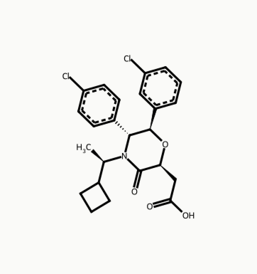 C[C@H](C1CCC1)N1C(=O)[C@H](CC(=O)O)O[C@H](c2cccc(Cl)c2)[C@H]1c1ccc(Cl)cc1